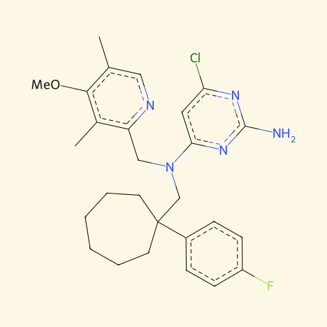 COc1c(C)cnc(CN(CC2(c3ccc(F)cc3)CCCCCC2)c2cc(Cl)nc(N)n2)c1C